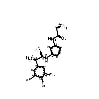 C=CC(=O)Nc1cccc(NC(=N)C(=C)c2cc(F)c(F)c(F)c2)c1